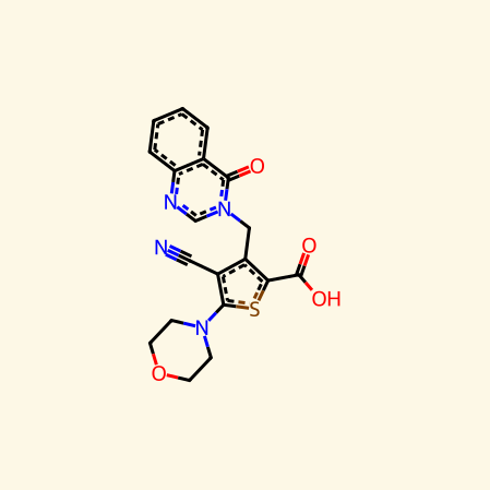 N#Cc1c(N2CCOCC2)sc(C(=O)O)c1Cn1cnc2ccccc2c1=O